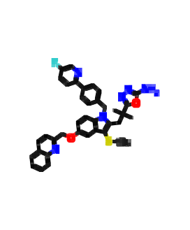 CC(C)(C)Sc1c(CC(C)(C)c2nnc(N)o2)n(Cc2ccc(-c3ccc(F)cn3)cc2)c2ccc(OCc3ccc4ccccc4n3)cc12